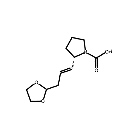 O=C(O)N1CCC[C@H]1C=CCC1OCCO1